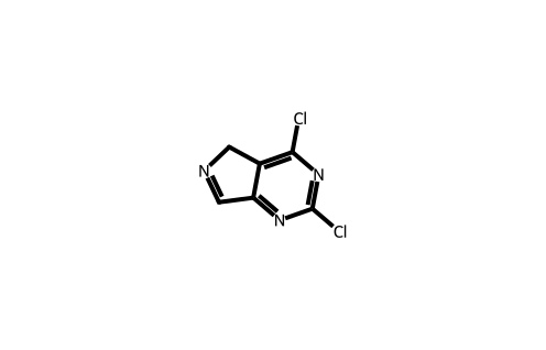 Clc1nc(Cl)c2c(n1)C=NC2